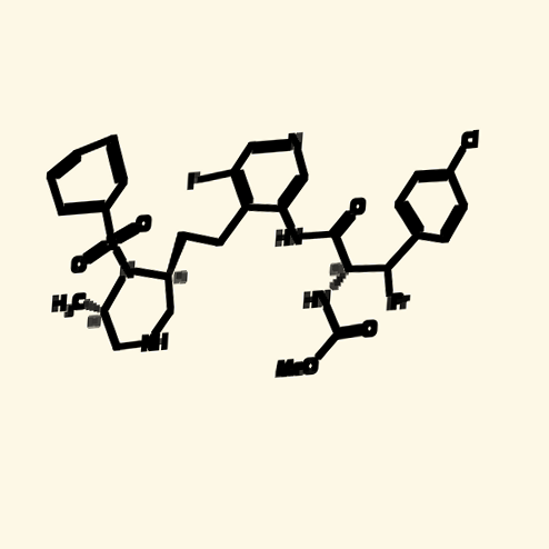 COC(=O)N[C@H](C(=O)Nc1cncc(F)c1CC[C@H]1CNC[C@H](C)N1S(=O)(=O)c1ccccc1)C(c1ccc(Cl)cc1)C(C)C